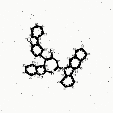 CCC1=C(c2ccc3oc4ccccc4c3c2)c2c(sc3ccccc23)N=C(n2c3ccccc3c3cc4ccccc4cc32)C1